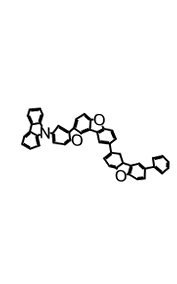 C1=C(c2ccc3oc4ccc5c6cc(-n7c8ccccc8c8ccccc87)ccc6oc5c4c3c2)CC2C(=C1)Oc1ccc(-c3ccccc3)cc12